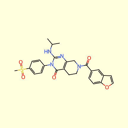 CC(C)Nc1nc2c(c(=O)n1-c1ccc(S(C)(=O)=O)cc1)CCN(C(=O)c1ccc3occc3c1)C2